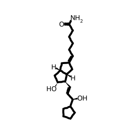 NC(=O)CCCC/C=C1\C[C@H]2C[C@@H](O)[C@H](/C=C/[C@@H](O)C3CCCC3)[C@H]2C1